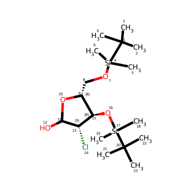 CC(C)(C)[Si](C)(C)OC[C@H]1OC(O)[C@@H](Cl)[C@@H]1O[Si](C)(C)C(C)(C)C